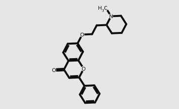 CN1CCCCC1CCOc1ccc2c(=O)cc(-c3ccccc3)oc2c1